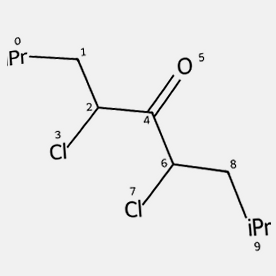 CC(C)CC(Cl)C(=O)C(Cl)CC(C)C